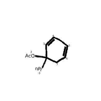 CCCC1(OC(C)=O)C=CC=CC1